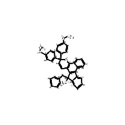 COc1ccc(C2(c3ccc(OC)cc3)C=Cc3c4c(c5ccccc5c3O2)-c2ccccc2C4(C)Cc2ccccc2)cc1